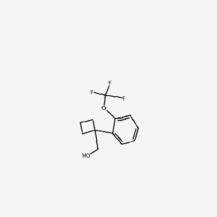 OCC1(c2ccccc2OC(F)(F)F)CCC1